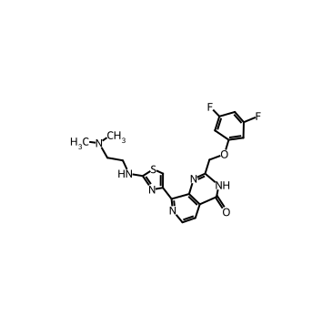 CN(C)CCNc1nc(-c2nccc3c(=O)[nH]c(COc4cc(F)cc(F)c4)nc23)cs1